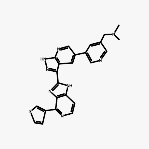 CN(C)Cc1cncc(-c2cnc3[nH]nc(-c4nc5c(-c6ccsc6)nccc5[nH]4)c3c2)c1